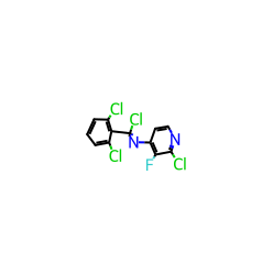 Fc1c(N=C(Cl)c2c(Cl)cccc2Cl)ccnc1Cl